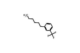 CCCCCCc1cccc(C(F)(F)F)c1